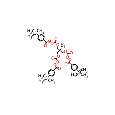 CC(COC(=O)OOC(=O)c1ccc([Si](C)(C)C)cc1)(COC(=O)OOC(=O)c1ccc([Si](C)(C)C)cc1)COC(=O)OOC(=O)c1ccc([Si](C)(C)C)cc1